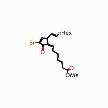 CCCCCCC=CC1C=C(Br)C(=O)C1=CCCCCCC(=O)OC